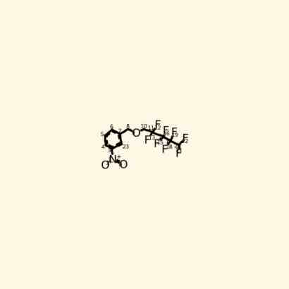 O=[N+]([O-])c1cccc(COCC(F)(F)C(F)(F)C(F)(F)C(F)F)c1